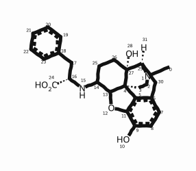 CN1CC[C@]23c4c5ccc(O)c4OC2C(N[C@@H](Cc2ccccc2)C(=O)O)CC[C@@]3(O)[C@H]1C5